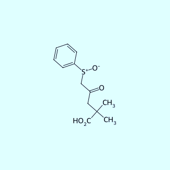 CC(C)(CC(=O)C[S+]([O-])c1ccccc1)C(=O)O